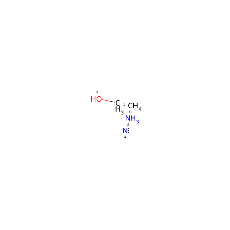 C.CO.N.[N]